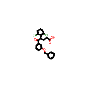 O=C(O)CCC(C(=O)c1cccc(OCc2ccccc2)c1)c1c(Cl)cccc1Cl